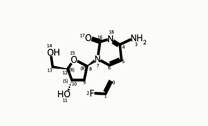 C=CF.Nc1ccn([C@H]2C[C@H](O)[C@@H](CO)O2)c(=O)n1